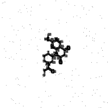 CCC(=O)N1CCC[C@@H](N2C(=O)CC(=O)c3cnc(SC)nc32)C1